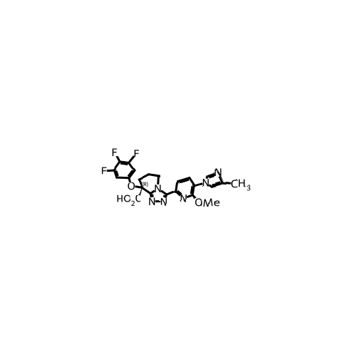 COc1nc(-c2nnc3n2CCC[C@]3(Oc2cc(F)c(F)c(F)c2)C(=O)O)ccc1-n1cnc(C)c1